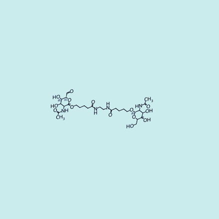 CC(=O)NC1C(O)[C@@H](O)C(CO)O[C@H]1OCCCCC(=O)NCCNC(=O)CCCCO[C@@H]1O[C@H](C=O)[C@H](O)C(O)C1NC(C)=O